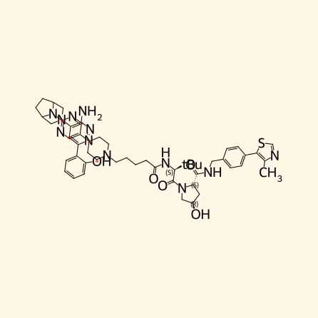 Cc1ncsc1-c1ccc(CNC(=O)[C@@H]2C[C@@H](O)CN2C(=O)[C@@H](NC(=O)CCCCN2CCC(c3cnc(N4C5CCC4CN(c4cc(-c6ccccc6O)nnc4N)C5)nc3)CC2)C(C)(C)C)cc1